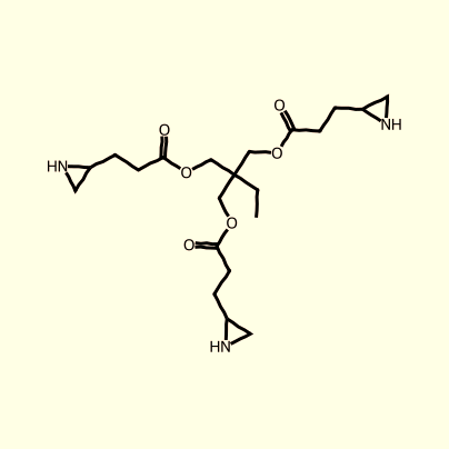 CCC(COC(=O)CCC1CN1)(COC(=O)CCC1CN1)COC(=O)CCC1CN1